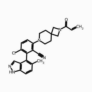 C=CC(=O)N1CC2(CCN(c3ccc(Cl)c(-c4c(C)ccc5[nH]ncc45)c3C#N)CC2)C1